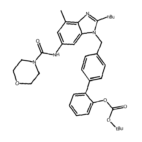 CCCCc1nc2c(C)cc(NC(=O)N3CCOCC3)cc2n1Cc1ccc(-c2ccccc2OC(=O)OC(C)(C)C)cc1